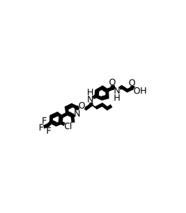 CCCC[C@@H](COc1ccc(-c2ccc(C(F)(F)F)cc2Cl)c(C)n1)Nc1ccc(C(=O)NCCC(=O)O)cc1